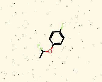 [CH2]C(F)Oc1ccc(F)cc1